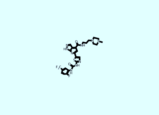 CN1CCN(CCCNC(=O)c2cc(-c3cnc(NC(=O)Nc4cc(C(F)(F)F)ccc4F)s3)nc3[nH]ncc23)CC1